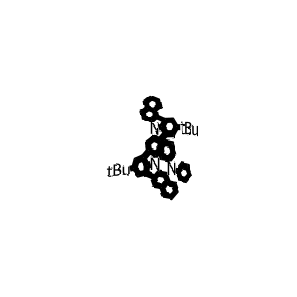 CC(C)(C)c1cc2c3cc4c(cc3n3c5ccc6ccccc6c5c(c1)c23)c1cc(C(C)(C)C)cc2c3cc5ccccc5c(N(c5ccccc5)c5ccccc5)c3n4c12